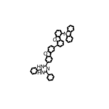 c1ccc(C2=NC(c3ccc4c(c3)oc3ccc(-c5cccc6c5oc5cccc(-n7c8ccccc8c8ccccc87)c56)cc34)NC(c3ccccc3)N2)cc1